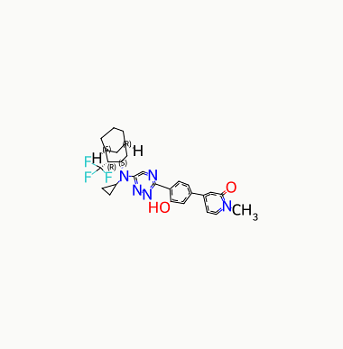 Cn1ccc(-c2ccc(-c3ncc(N(C4CC4)[C@H]4C[C@@H]5CCC[C@@H](C5)[C@H]4C(F)(F)F)nn3)c(O)c2)cc1=O